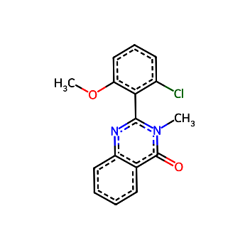 COc1cccc(Cl)c1-c1nc2ccccc2c(=O)n1C